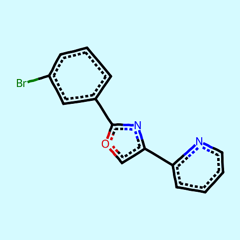 Brc1cccc(-c2nc(-c3ccccn3)co2)c1